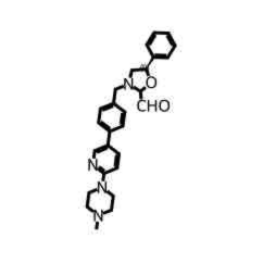 CN1CCN(c2ccc(-c3ccc(CN4C[C@@H](c5ccccc5)OC4C=O)cc3)cn2)CC1